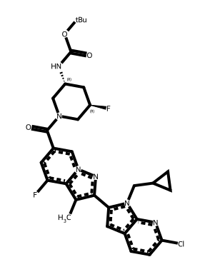 Cc1c(-c2cc3ccc(Cl)nc3n2CC2CC2)nn2cc(C(=O)N3C[C@H](F)C[C@@H](NC(=O)OC(C)(C)C)C3)cc(F)c12